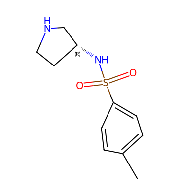 Cc1ccc(S(=O)(=O)N[C@@H]2CCNC2)cc1